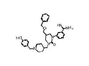 N=C(N)c1cccc(N2CC(COCc3ccccc3)CN(CC3CCN(Cc4ccc(O)cc4)CC3)C2=O)c1